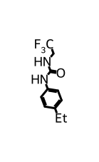 CCc1ccc(NC(=O)NCC(F)(F)F)cc1